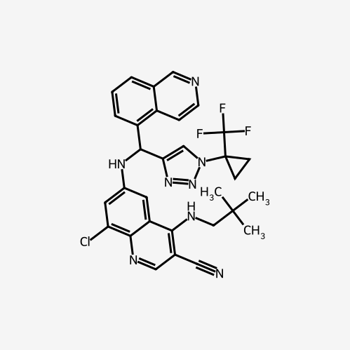 CC(C)(C)CNc1c(C#N)cnc2c(Cl)cc(NC(c3cn(C4(C(F)(F)F)CC4)nn3)c3cccc4cnccc34)cc12